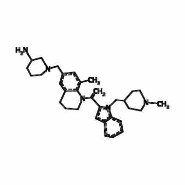 C=C(c1cc2ccccc2n1CC1CCN(C)CC1)N1CCCc2cc(CN3CCCC(N)C3)cc(C)c21